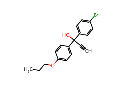 C#CC(O)(c1ccc(Br)cc1)c1ccc(OCCC)cc1